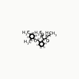 CCNC(=O)C(=NOC)c1ccccc1COc1ccc(C)cc1C